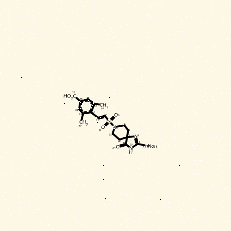 CCCCCCCCCC1=NC2(CCN(S(=O)(=O)C=Cc3c(C)cc(C(=O)O)cc3C)CC2)C(=O)N1